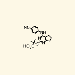 CC(C)(Sc1nc2c(c(Nc3ccc(C#N)cc3)n1)CCC2)C(=O)O